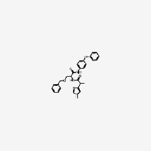 CC(C(=O)NC(COCc1ccccc1)C(=O)Nc1ccc(Oc2ccccc2)cc1)c1c[nH]cn1